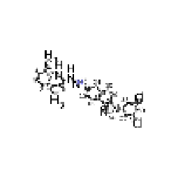 Cc1cccc(C)c1NC(=S)N/N=C/c1ccc2c(ccc3c2ncn3-c2cc(Cl)cc(Cl)c2)c1